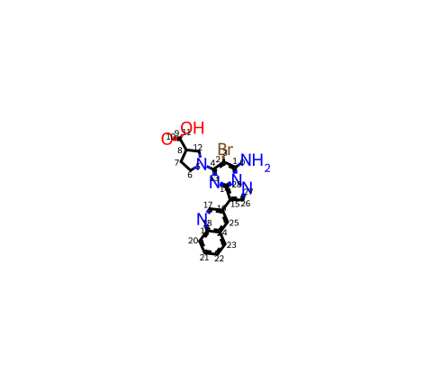 Nc1c(Br)c(N2CCC(C(=O)O)C2)nc2c(-c3cnc4ccccc4c3)cnn12